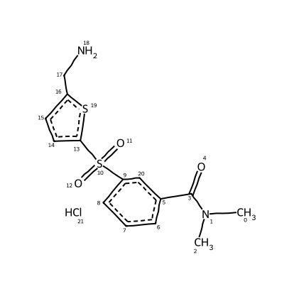 CN(C)C(=O)c1cccc(S(=O)(=O)c2ccc(CN)s2)c1.Cl